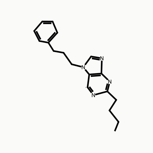 CCCCc1n[c]c2c(ncn2CCCc2ccccc2)n1